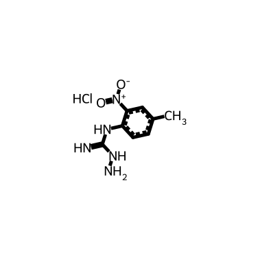 Cc1ccc(NC(=N)NN)c([N+](=O)[O-])c1.Cl